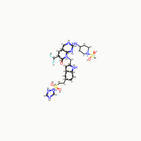 CS(=O)(=O)N1CCC(Nc2ncc3cc(C(F)F)c(=O)n(Cc4cc5cc(CCS(=O)(=O)n6cncn6)ccc5[nH]4)c3n2)CC1